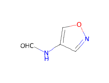 O=CNc1cnoc1